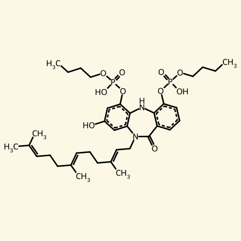 CCCCOP(=O)(O)Oc1cccc2c1Nc1c(OP(=O)(O)OCCCC)cc(O)cc1N(C/C=C(\C)CC/C=C(\C)CCC=C(C)C)C2=O